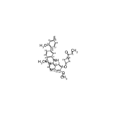 C=CC(=O)N1CC(Oc2cc3c(Nc4cc(-c5ccc(F)cc5C)ccc4OC)ncnc3cc2OC)C1